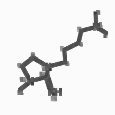 CN(C)CCCCN1CCN(C)C1=N